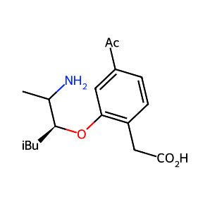 CCC(C)[C@H](Oc1cc(C(C)=O)ccc1CC(=O)O)C(C)N